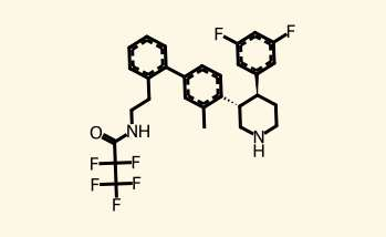 Cc1cc(-c2ccccc2CCNC(=O)C(F)(F)C(F)(F)F)ccc1[C@H]1CNCC[C@@H]1c1cc(F)cc(F)c1